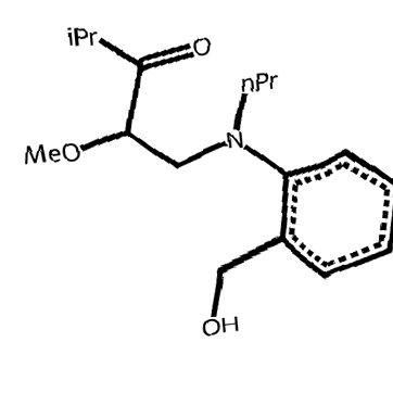 [CH2]CCN(CC(OC)C(=O)C(C)C)c1ccccc1CO